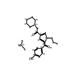 CCCn1cc(C(=O)CN2CCCCC2)cc1C(=O)c1ccc(Cl)cc1.CNC